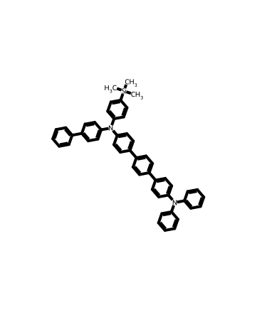 C[Si](C)(C)c1ccc(N(c2ccc(-c3ccccc3)cc2)c2ccc(-c3ccc(-c4ccc(N(c5ccccc5)c5ccccc5)cc4)cc3)cc2)cc1